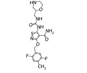 Cc1cc(F)c(COc2nsc(NC(=O)NCC3CNCCO3)c2C(N)=O)cc1F